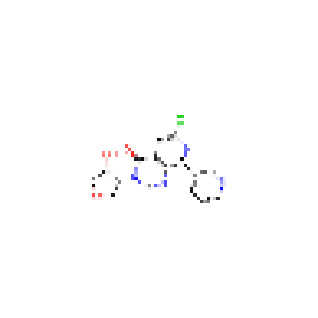 O=c1c2cc(Cl)nc(-c3cccnc3)c2ncn1[C@@H]1COC[C@@H]1O